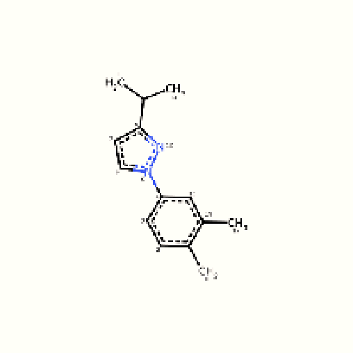 Cc1ccc(-n2ccc(C(C)C)n2)cc1C